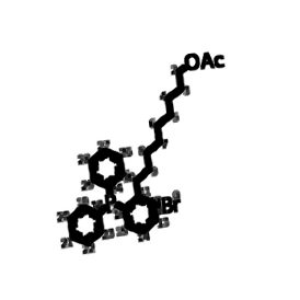 Br.CC(=O)OCCCCCCCCCc1ccccc1P(c1ccccc1)c1ccccc1